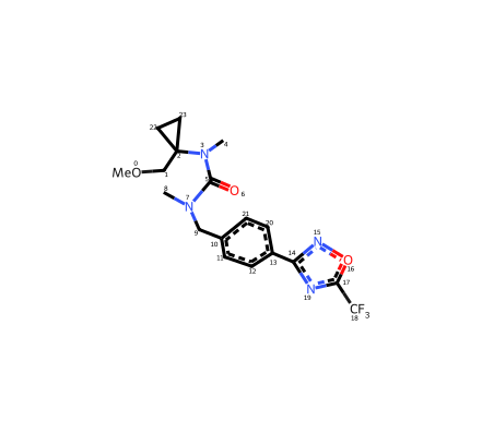 COCC1(N(C)C(=O)N(C)Cc2ccc(-c3noc(C(F)(F)F)n3)cc2)CC1